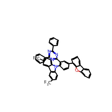 FC(F)(F)c1ccc2c(c1)c1cc(C(F)(F)F)ccc1n2-c1ccc(-c2cccc3c2oc2ccccc23)cc1-c1nc(-c2ccccc2)nc(-c2ccccc2)n1